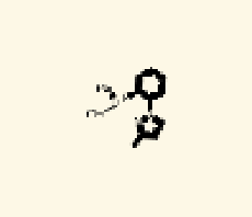 CC(C)(C)OC=O.Cc1ccn(-c2ccccc2F)n1